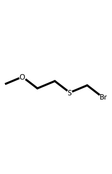 COCCSCBr